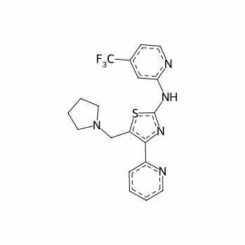 FC(F)(F)c1ccnc(Nc2nc(-c3ccccn3)c(CN3CCCC3)s2)c1